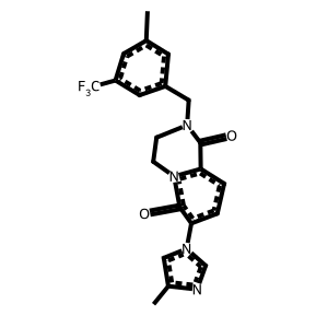 Cc1cc(CN2CCn3c(ccc(-n4cnc(C)c4)c3=O)C2=O)cc(C(F)(F)F)c1